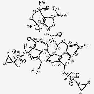 CC1(S(=O)(=O)Nc2nn(CC(F)(F)F)c3c(-c4ccc(CCC(C)(C)S(=O)(=O)C5CC5)nc4[C@H](Cc4cc(F)cc(F)c4)NC(=O)Cn4nc(C(F)F)c5c4C(F)(F)CCC5(F)F)ccc(Cl)c23)CC1